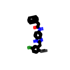 COc1ccc(Cl)cc1Cc1nc2cc(NC(=O)CC3C4CC5CC(C4)CC3C5)ccc2[nH]1